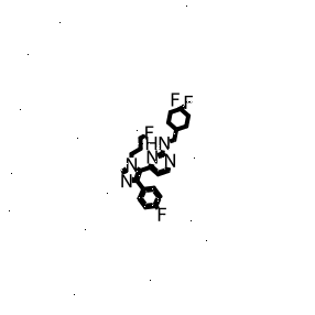 FCCCn1cnc(-c2ccc(F)cc2)c1-c1ccnc(NCC2CCC(F)(F)CC2)n1